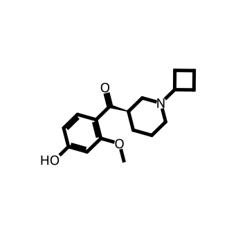 COc1cc(O)ccc1C(=O)[C@@H]1CCCN(C2CCC2)C1